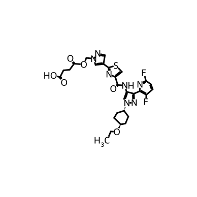 CCO[C@H]1CC[C@H](n2cc(NC(=O)c3csc(-c4cnn(COC(=O)CCC(=O)O)c4)n3)c(-c3nc(F)ccc3F)n2)CC1